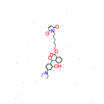 CCN(CC)c1ccc(C(=O)c2ccccc2C(=O)OCCCCCCN2C(=O)C=CC2=O)c(O)c1